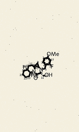 COc1ccc(CN(C2CC2)[C@H](CO)C(=O)N2CCC[C@H]3CCCC[C@@H]32)c(F)c1